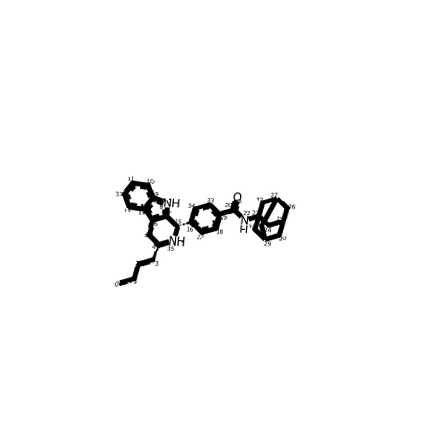 CCCC[C@H]1Cc2c([nH]c3ccccc23)[C@H](c2ccc(C(=O)NC34CC5CC(CC(C5)C3)C4)cc2)N1